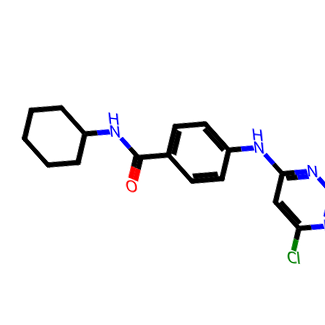 O=C(NC1CCCCC1)c1ccc(Nc2cc(Cl)ncn2)cc1